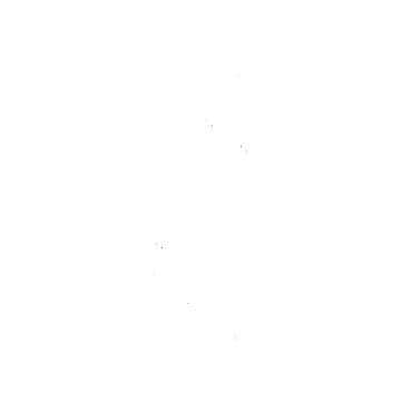 Cc1nn2c(Br)ccc2cc1C1=NC(C)(C)C(C)(C)c2c(F)cccc21